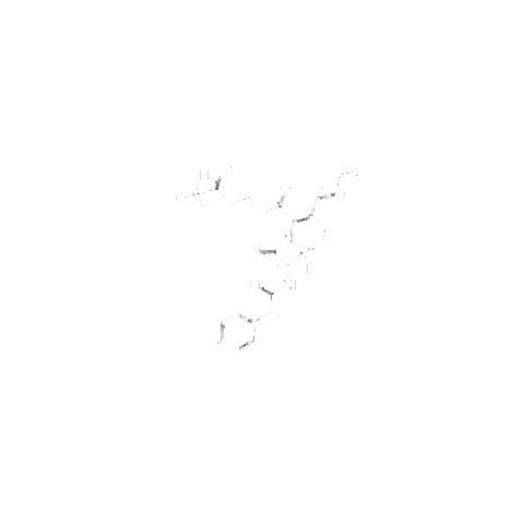 CC(C)(C)C(=O)OCOC(=O)C1=C(/C=C/CCl)CS[C@H]2[C@H](NC(=O)Cc3ccccc3)C(=O)N12